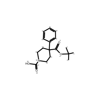 CC(C)(C)OC(=O)C1(c2ccccc2)CCN(C(=O)O)CC1